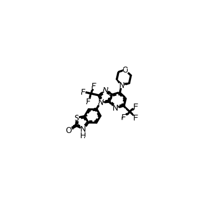 O=c1[nH]c2ccc(-n3c(C(F)(F)F)nc4c(N5CCOCC5)cc(C(F)(F)F)nc43)cc2s1